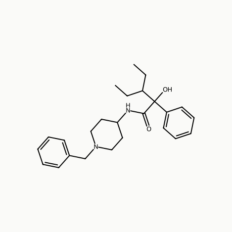 CCC(CC)C(O)(C(=O)NC1CCN(Cc2ccccc2)CC1)c1ccccc1